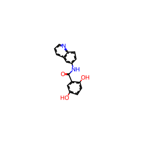 O=C(Nc1ccc2ncccc2c1)c1cc(O)ccc1O